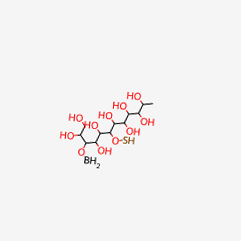 BOC(C(O)CO)C(O)C(O)C(OS)C(O)C(O)C(O)C(O)C(C)O